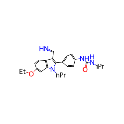 CCCn1c(-c2ccc(NC(=O)NC(C)C)cc2)c(C=N)c2ccc(OCC)cc21